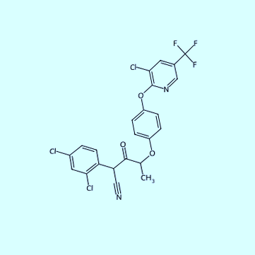 CC(Oc1ccc(Oc2ncc(C(F)(F)F)cc2Cl)cc1)C(=O)C(C#N)c1ccc(Cl)cc1Cl